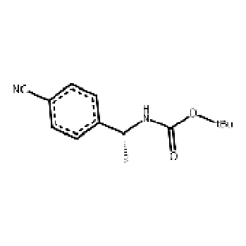 C[C@@H](NC(=O)OC(C)(C)C)c1ccc(C#N)cc1